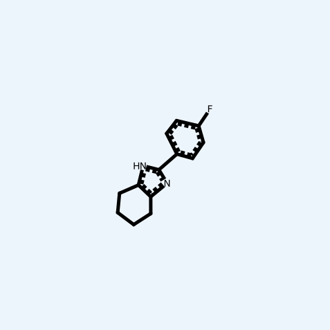 Fc1ccc(-c2nc3c([nH]2)CCCC3)cc1